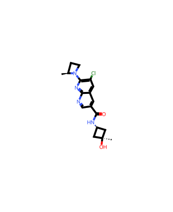 C[C@H]1CCN1c1nc2ncc(C(=O)N[C@H]3C[C@](C)(O)C3)cc2cc1Cl